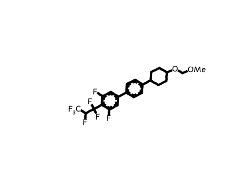 COCOC1CCC(c2ccc(-c3cc(F)c(C(F)(F)C(F)C(F)(F)F)c(F)c3)cc2)CC1